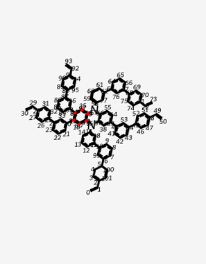 C=CC1=CCC(c2cccc(-c3cccc(N(C4=CC(c5cccc(-c6ccc(C=C)cc6)c5)=CCC4)c4cc(-c5cccc(-c6ccc(C=C)cc6)c5)ccc4N(C4=C=C=CC(c5cccc(-c6ccc(C=C)cc6)c5)=C4)c4cccc(-c5cccc(-c6ccc(C=C)cc6)c5)c4)c3)c2)C=C1